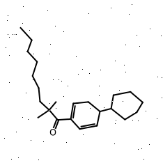 CCCCCCCC(C)(C)C(=O)C1=CCC(C2CCCCC2)C=C1